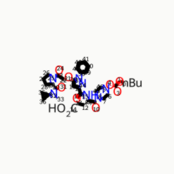 CCCCOC(=O)ON1CCN(C(=O)[C@H](CCC(=O)O)NC(=O)c2cc(OCC(=O)N3CCC[C@H]3C(=O)N(C)C3CC3)n(-c3ccccc3)n2)CC1